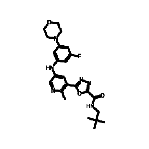 Cc1ncc(Nc2cc(F)cc(N3CCOCC3)c2)cc1-c1nnc(C(=O)NCC(C)(C)C)o1